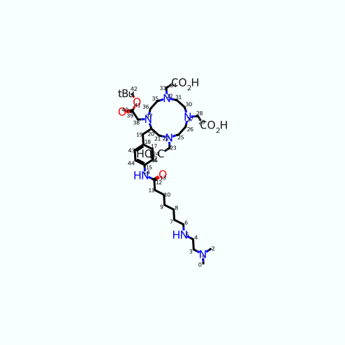 CN(C)CCNCCCCCCC(=O)Nc1ccc(CC2CN(CC(=O)O)CCN(CC(=O)O)CCN(CC(=O)O)CCN2CC(=O)OC(C)(C)C)cc1